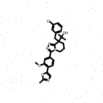 COc1cc(-c2nnc3n2CCCC3(Cc2cccc(Cl)c2)C(C)(C)O)ccc1-c1cnc(C)o1